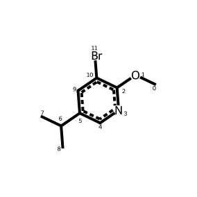 COc1ncc(C(C)C)cc1Br